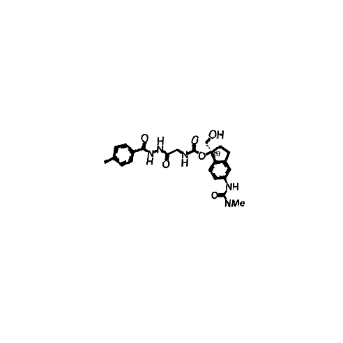 CNC(=O)Nc1ccc2c(c1)CC[C@]2(CO)OC(=O)NCC(=O)NNC(=O)c1ccc(C)cc1